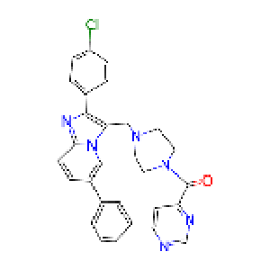 O=C(c1ccncn1)N1CCN(Cc2c(-c3ccc(Cl)cc3)nc3ccc(-c4ccccc4)cn23)CC1